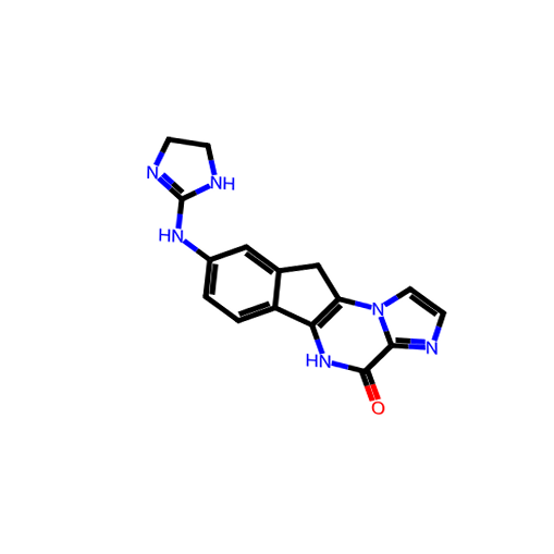 O=c1[nH]c2c(n3ccnc13)Cc1cc(NC3=NCCN3)ccc1-2